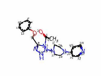 CC(=O)N1C(COc2ccccc2)=NNN1N1CCN(c2ccncc2)CC1